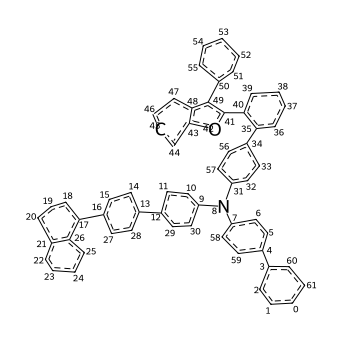 c1ccc(-c2ccc(N(c3ccc(-c4ccc(-c5cccc6ccccc56)cc4)cc3)c3ccc(-c4ccccc4-c4oc5ccccc5c4-c4ccccc4)cc3)cc2)cc1